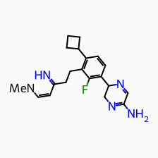 CN/C=C\C(=N)CCc1c(C2CCC2)ccc(C2CN=C(N)C=N2)c1F